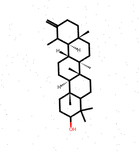 C=C1CC[C@]2(C)CC[C@]3(C)[C@H](CC[C@@H]4[C@@]5(C)CCC(O)C(C)(C)C5CC[C@]43C)[C@H]2C1C